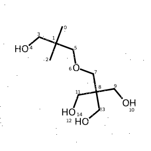 CC(C)(CO)COCC(CO)(CO)CO